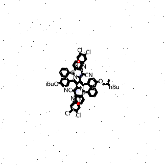 CCCCC(C)COc1ccc(-c2c3/c(=C(\C#N)C4=NC5C=C(Cl)C(Cl)=CC5N=C4)n(B(c4ccccc4)c4ccccc4)c(-c4ccc(OCC(C)C)cc4)c3/c(=C(\C#N)c3cnc4cc(Cl)c(Cl)cc4n3)n2B(c2ccccc2)c2ccccc2)cc1